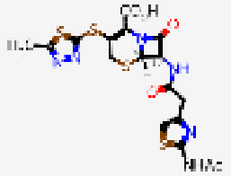 CC(=O)Nc1nc(CC(=O)N[C@@H]2C(=O)N3C(C(=O)O)=C(Sc4nnc(C)s4)CS[C@@H]23)cs1